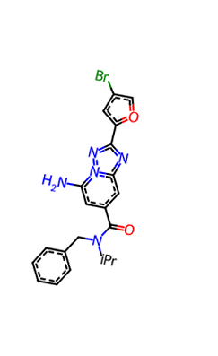 CC(C)N(Cc1ccccc1)C(=O)c1cc(N)n2nc(-c3cc(Br)co3)nc2c1